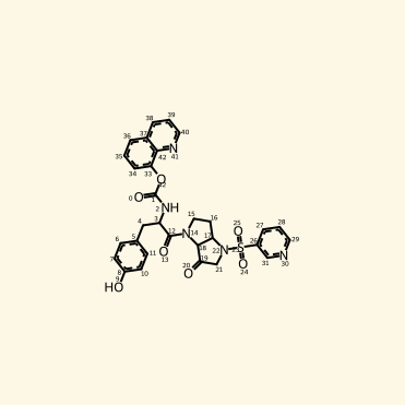 O=C(NC(Cc1ccc(O)cc1)C(=O)N1CCC2C1C(=O)CN2S(=O)(=O)c1cccnc1)Oc1cccc2cccnc12